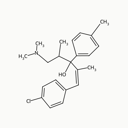 CC(=Cc1ccc(Cl)cc1)C(O)(c1ccc(C)cc1)C(C)CN(C)C